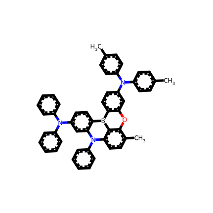 Cc1ccc(N(c2ccc(C)cc2)c2ccc3c(c2)Oc2c(C)ccc4c2B3c2ccc(N(c3ccccc3)c3ccccc3)cc2N4c2ccccc2)cc1